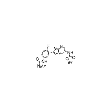 CNC(=O)Nc1ccc(F)c(-c2cn3cc(NC(=O)OC(C)C)cnc3n2)c1